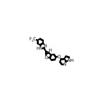 FC(F)(F)c1ccc2nc(C3C4Oc5ccc(Oc6ccnc7[nH]ccc67)cc5[C@H]43)[nH]c2c1